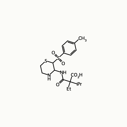 CCC(C(=O)O)(C(=O)NC1NCCSC1S(=O)(=O)c1ccc(C)cc1)C(C)C